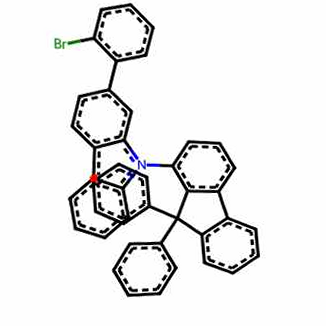 Brc1ccccc1-c1ccc2c3ccccc3n(-c3cccc4c3C(c3ccccc3)(c3ccccc3)c3ccccc3-4)c2c1